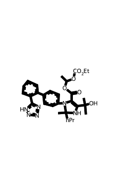 CCCC1(C)NC(C(C)(C)O)=C(C(=O)OC(C)OC(=O)OCC)N1c1ccc(-c2ccccc2-c2nnn[nH]2)cc1